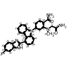 CN(CC(N)=O)c1cc(-n2c3ccccc3c3c(-c4nc5ccc(F)cc5[nH]4)cccc32)ccc1C(N)=O